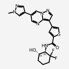 Cn1cc(-c2cnc3c(-c4csc(C(=O)N[C@@H]5[C@@H](O)CCCC5(F)F)c4)cnn3c2)cn1